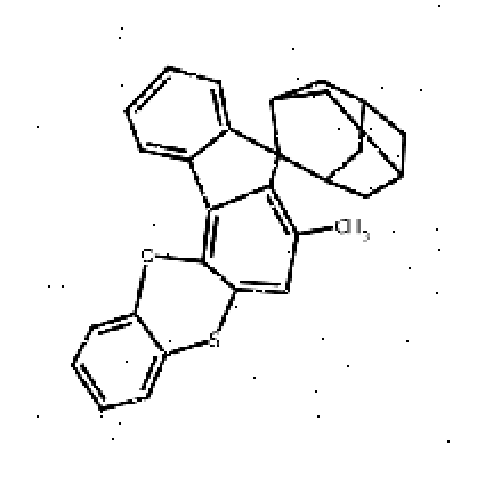 Cc1cc2c(c3c1C1(c4ccccc4-3)C3CC4CC(C3)CC1C4)Oc1ccccc1S2